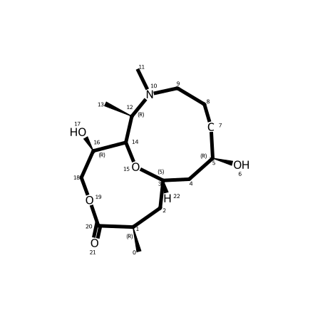 C[C@@H]1C[C@H]2C[C@H](O)CCCN(C)[C@H](C)C(O2)[C@H](O)COC1=O